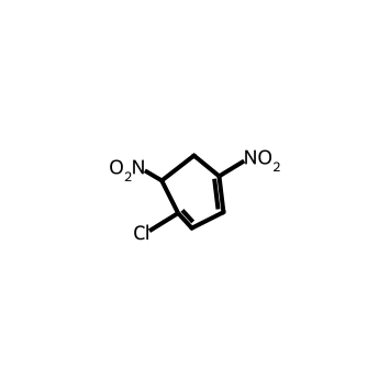 O=[N+]([O-])C1=CC=C(Cl)C([N+](=O)[O-])C1